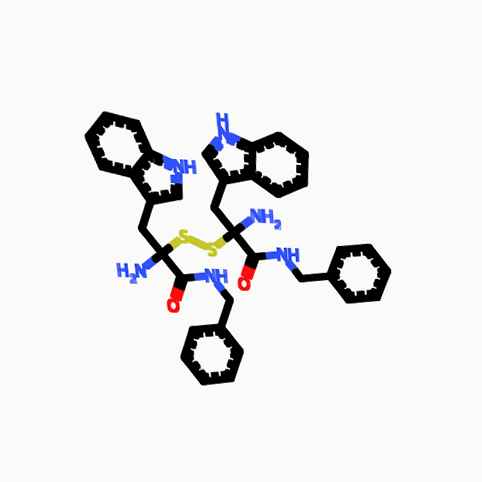 NC(Cc1c[nH]c2ccccc12)(SSC(N)(Cc1c[nH]c2ccccc12)C(=O)NCc1ccccc1)C(=O)NCc1ccccc1